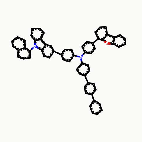 c1ccc(-c2ccc(-c3ccc(N(c4ccc(-c5ccc6c(c5)c5ccccc5n6-c5cccc6ccccc56)cc4)c4ccc(-c5cccc6c5oc5ccccc56)cc4)cc3)cc2)cc1